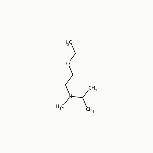 CCOCCN(C)C(C)C